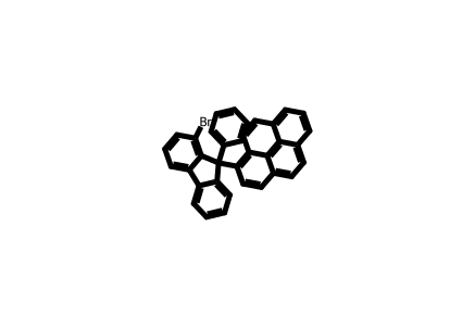 Brc1cccc2c1C(c1ccccc1)(c1ccc3ccc4cccc5ccc1c3c45)c1ccccc1-2